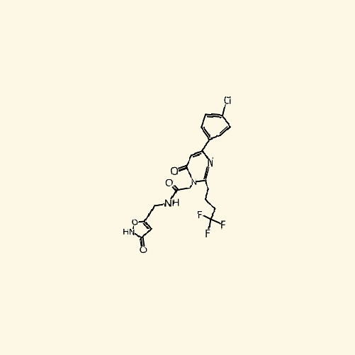 O=C(Cn1c(CCCC(F)(F)F)nc(-c2ccc(Cl)cc2)cc1=O)NCc1cc(=O)[nH]o1